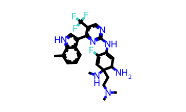 CNC1(CCN(C)C)C=C(F)C(Nc2ncc(C(F)(F)F)c(-c3c[nH]c4c(C)cccc34)n2)=CC1N